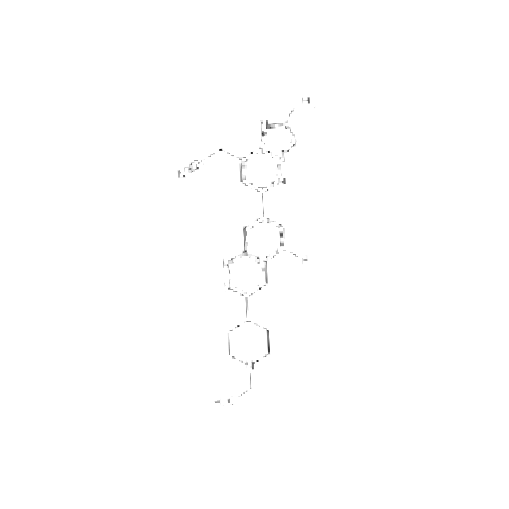 CCN1CCC(c2cc3c(F)cc(-c4cc(CC#N)c5nc(C)cn5n4)cc3nn2)CC1